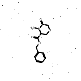 O=C(OCc1ccccc1)C1COCC(=O)N1P